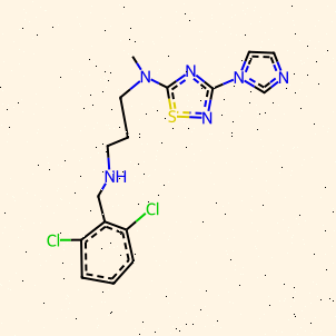 CN(CCCNCc1c(Cl)cccc1Cl)c1nc(-n2ccnc2)ns1